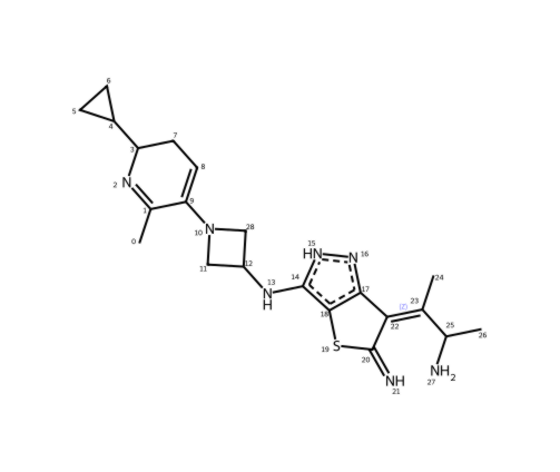 CC1=NC(C2CC2)CC=C1N1CC(Nc2[nH]nc3c2SC(=N)/C3=C(/C)C(C)N)C1